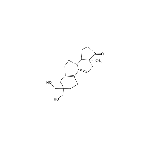 C[C@]12CC=C3C4=C(CCC3C1CCC2=O)CC(CO)(CO)CC4